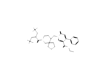 CCOC(=O)c1cn(C[C@]2(O)CCN(C(=O)C(CC(F)(F)F)CC(F)(F)F)CC23CCCC3)c(=O)cc1-c1ccccc1